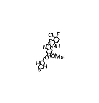 COc1cc2c(Nc3ccc(F)c(Cl)c3F)ncnc2cc1OCC1C[C@@H]2CN(C)C[C@@H]2C1.Cl